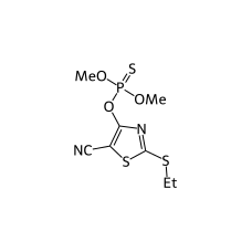 CCSc1nc(OP(=S)(OC)OC)c(C#N)s1